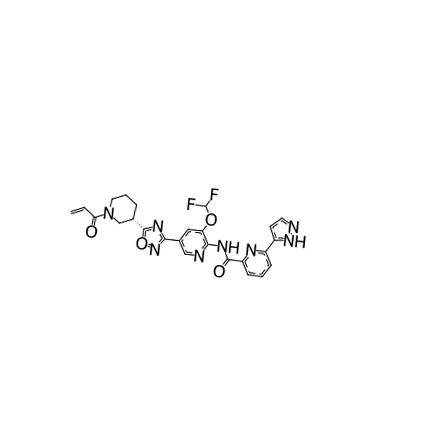 C=CC(=O)N1CCC[C@H](c2nc(-c3cnc(NC(=O)c4cccc(-c5ccn[nH]5)n4)c(OC(F)F)c3)no2)C1